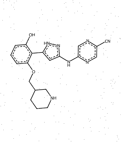 N#Cc1cnc(Nc2cc(-c3c(O)cccc3OCC3CCCNC3)[nH]n2)cn1